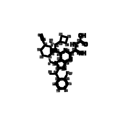 C#C[C@H]1CC[C@H](Cn2c(C(C)c3ccccc3F)nc3nc(C(=N)NC(=O)O)nc(N[C@H](C)C4CCC4)c32)CC1